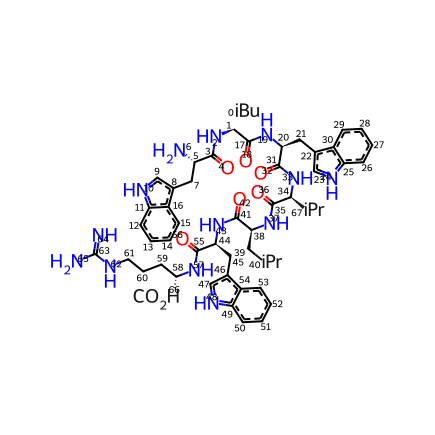 CC[C@H](C)[C@H](NC(=O)[C@@H](N)Cc1c[nH]c2ccccc12)C(=O)N[C@@H](Cc1c[nH]c2ccccc12)C(=O)N[C@H](C(=O)N[C@@H](CC(C)C)C(=O)N[C@@H](Cc1c[nH]c2ccccc12)C(=O)N[C@@H](CCCNC(=N)N)C(=O)O)C(C)C